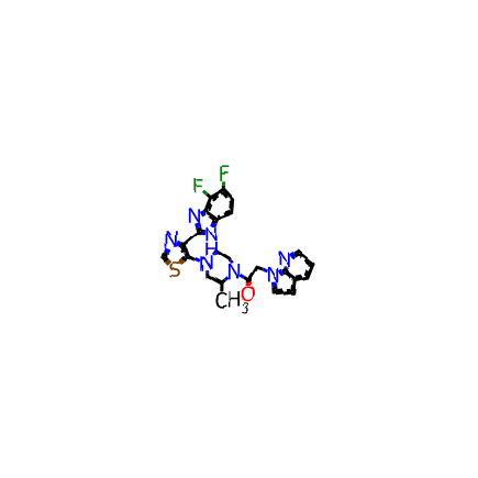 CC1CN(c2scnc2-c2nc3c(F)c(F)ccc3[nH]2)CCN1C(=O)Cn1ccc2cccnc21